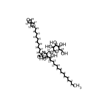 CCCCCCCCCCCCCC[C@@H](O)[C@@H](O)[C@H](COC1OC(CO)C(O)C(O)C1O)N=S(C)(=O)CCCCCCCCCCN1CC2(COC2)C1